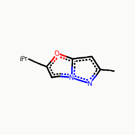 Cc1cc2oc(C(C)C)cn2n1